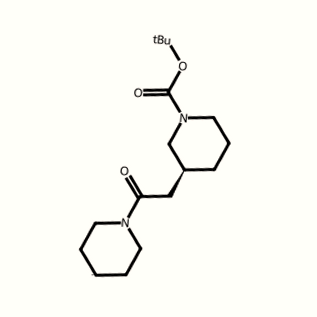 CC(C)(C)OC(=O)N1CCC[C@@H](CC(=O)N2CC[CH]CC2)C1